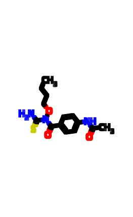 CCCCON(C(=O)c1ccc(NC(C)=O)cc1)C(N)=S